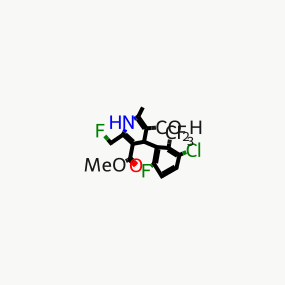 COC(=O)C1=C(CF)NC(C)=C(C(=O)O)C1c1c(F)ccc(Cl)c1C(F)(F)F